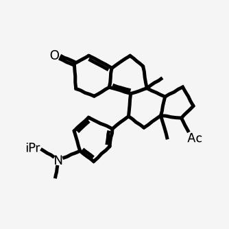 CC(=O)C1CCC2C3(C)CCC4=CC(=O)CCC4=C3C(c3ccc(N(C)C(C)C)cc3)CC12C